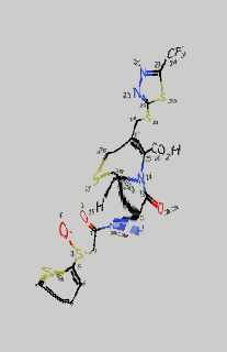 O=C(C[S+]([O-])c1cccs1)NC1C(=O)N2C(C(=O)O)=C(CSc3nnc(C(F)(F)F)s3)CS[C@@H]12